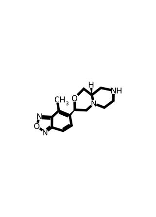 Cc1c([C@@H]2CN3CCNC[C@H]3CO2)ccc2nonc12